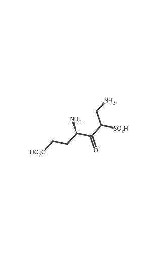 NCC(C(=O)[C@H](N)CCC(=O)O)S(=O)(=O)O